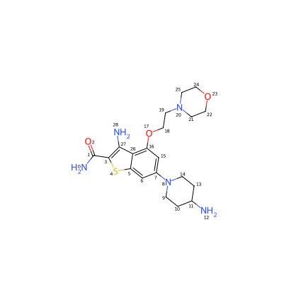 NC(=O)c1sc2cc(N3CCC(N)CC3)cc(OCCN3CCOCC3)c2c1N